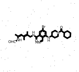 C/C(=C/C(C)=C(\C)CNC(=O)c1cc(Br)cc(NC2CCN(C(=O)C3CCCCC3)CC2)c1C=N)NC=O